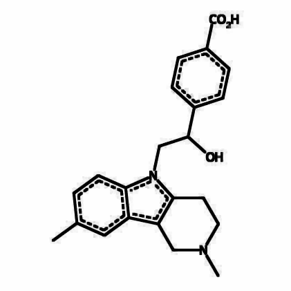 Cc1ccc2c(c1)c1c(n2CC(O)c2ccc(C(=O)O)cc2)CCN(C)C1